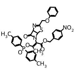 CC(OP(=O)(c1ccc(C)cc1)c1ccc(C)cc1)=C(C(=O)OCc1ccc([N+](=O)[O-])cc1)N1C(=O)C2N=C(COc3ccccc3)SC21